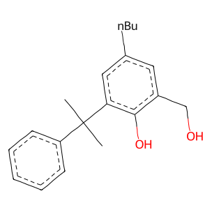 CCCCc1cc(CO)c(O)c(C(C)(C)c2ccccc2)c1